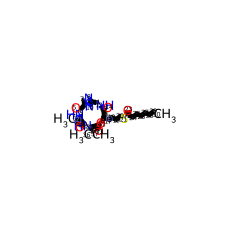 C/C=C1\NC(=O)C2C=NC(=N2)CNC(=O)C[C@@H](/C=C/CCSC(=O)CCCCCCC)OC(=O)[C@H](C(C)C)NC1=O